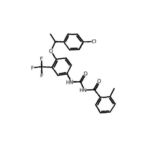 Cc1ccccc1C(=O)NC(=O)Nc1ccc(OC(C)c2ccc(Cl)cc2)c(C(F)(F)F)c1